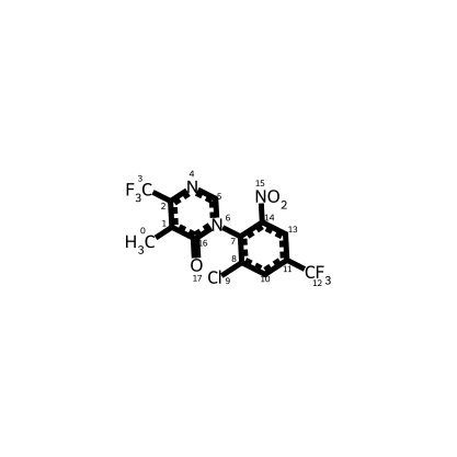 Cc1c(C(F)(F)F)ncn(-c2c(Cl)cc(C(F)(F)F)cc2[N+](=O)[O-])c1=O